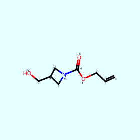 C=CCOC(=O)N1CC(CO)C1